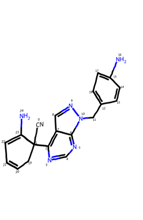 N#CC1(c2ncnc3c2cnn3Cc2ccc(N)cc2)CC=CC=C1N